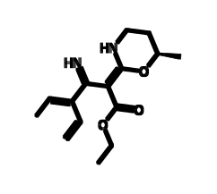 C=C/C(=C\C)C(=N)/C(C(=O)OCC)=C1\NCC[C@@H](C)O1